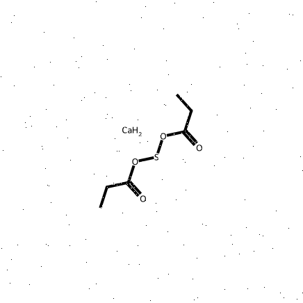 CCC(=O)OSOC(=O)CC.[CaH2]